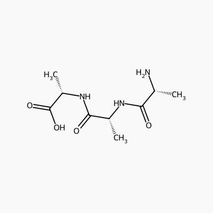 C[C@H](NC(=O)[C@@H](C)NC(=O)[C@@H](C)N)C(=O)O